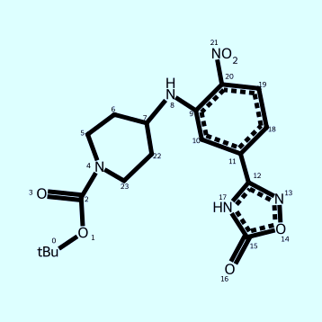 CC(C)(C)OC(=O)N1CCC(Nc2cc(-c3noc(=O)[nH]3)ccc2[N+](=O)[O-])CC1